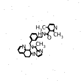 Cc1ccnc(C)c1C(=O)NCc1cccc(CN(C(C)c2ncc[nH]2)C2CCCc3cccnc32)c1